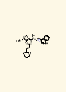 CCCN(CCC)c1cc(N/N=C/c2c[nH]c3ccccc23)nc(CCC2OCCCO2)n1